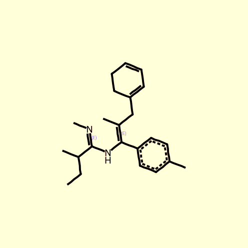 CCC(C)/C(=N\C)N/C(=C(\C)CC1=CC=CCC1)c1ccc(C)cc1